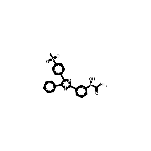 CS(=O)(=O)c1ccc(-c2oc(-c3cccc(N(O)C(N)=O)c3)nc2-c2ccccc2)cc1